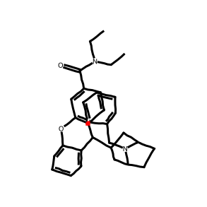 CCN(CC)C(=O)c1ccc2c(c1)Oc1ccccc1C2C1CC2CCC(C1)N2Cc1ccccn1